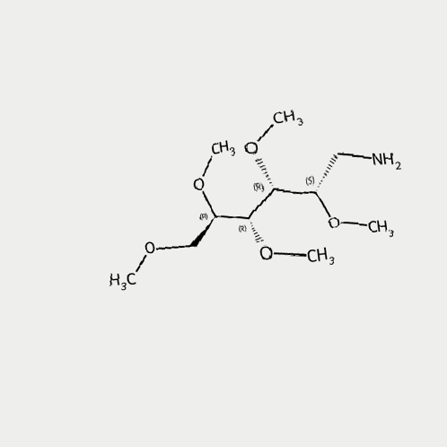 COC[C@@H](OC)[C@@H](OC)[C@H](OC)[C@H](CN)OC